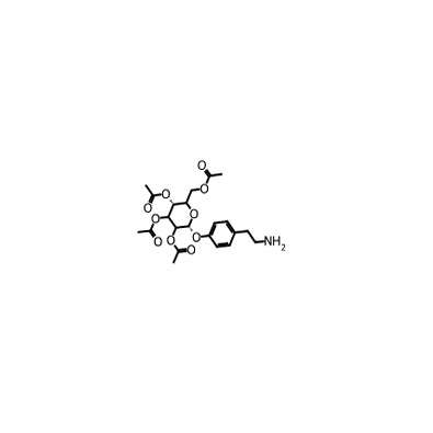 CC(=O)OCC1O[C@H](Oc2ccc(CCN)cc2)C(OC(C)=O)C(OC(C)=O)[C@@H]1OC(C)=O